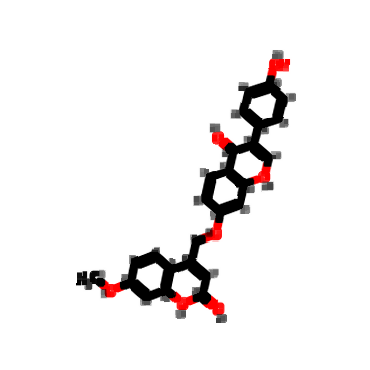 COc1ccc2c(COc3ccc4c(=O)c(-c5ccc(O)cc5)coc4c3)cc(=O)oc2c1